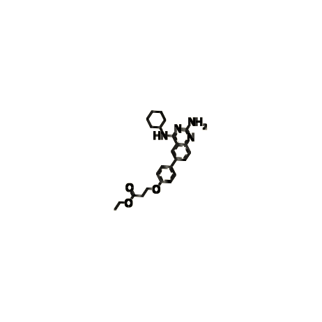 CCOC(=O)CCOc1ccc(-c2ccc3nc(N)nc(NC4CCCCC4)c3c2)cc1